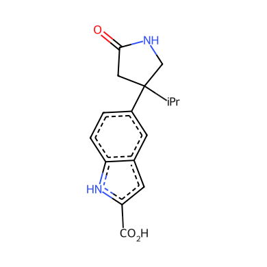 CC(C)C1(c2ccc3[nH]c(C(=O)O)cc3c2)CNC(=O)C1